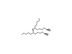 CCCCCC(CCCCC#N)SC(CCCCC)CCCCC#N